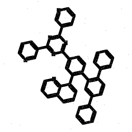 c1ccc(-c2ccc(-c3ccccc3)c(-c3ccc(-c4nc(-c5cccnc5)nc(-c5cccnc5)n4)cc3-c3cccc4cccnc34)c2)cc1